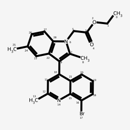 CCOC(=O)Cn1c(C)c(-c2cc(C)nc3c(Br)cccc23)c2cc(C)ccc21